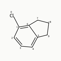 Clc1cccc2c1C[C]C2